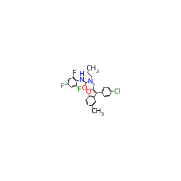 CCCN(Cc1oc2ccc(C)cc2c1-c1ccc(Cl)cc1)C(=O)Nc1c(F)cc(F)cc1F